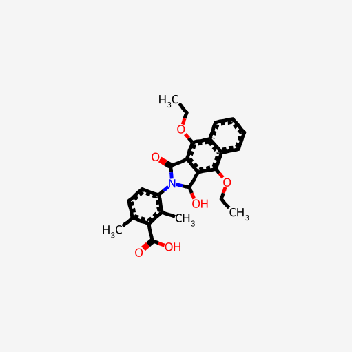 CCOc1c2c(c(OCC)c3ccccc13)C(O)N(c1ccc(C)c(C(=O)O)c1C)C2=O